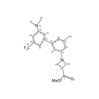 COC(=O)C1CN(c2cc(C)cc(-c3cc(N(C)C)cc(C(F)(F)F)c3)c2)C1